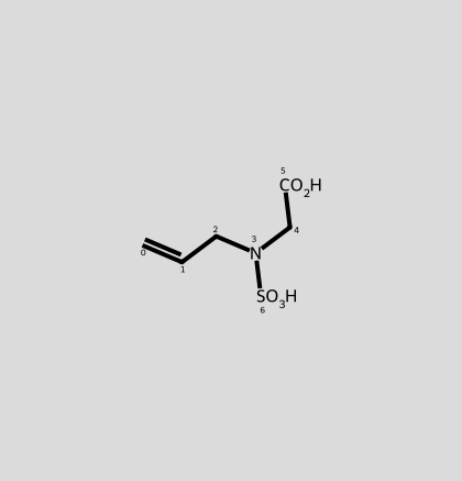 C=CCN(CC(=O)O)S(=O)(=O)O